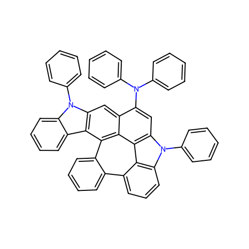 c1ccc(N(c2ccccc2)c2cc3c4c5c(c6c7ccccc7n(-c7ccccc7)c6cc25)-c2ccccc2-c2cccc(c24)n3-c2ccccc2)cc1